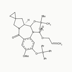 C=CCOC(=O)N1c2cc(O[Si](C(C)C)(C(C)C)C(C)C)c(OC)cc2C(=O)N2CC3(CC3)C[C@H]2C1O[Si](C)(C)C(C)(C)C